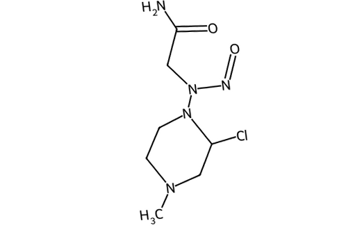 CN1CCN(N(CC(N)=O)N=O)C(Cl)C1